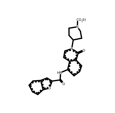 CCOC(=O)N1CCC(n2ccc3c(NC(=O)c4cc5ccccc5o4)cccc3c2=O)CC1